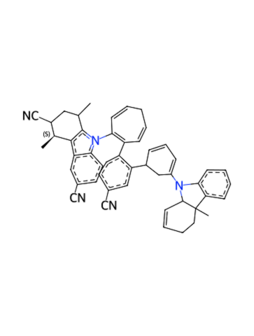 CC1CC(C#N)[C@H](C)c2c1n(C1=C(c3ccc(C#N)cc3C3C=CC=C(N4c5ccccc5C5(C)CCC=CC45)C3)C=CCC=C1)c1ccc(C#N)cc21